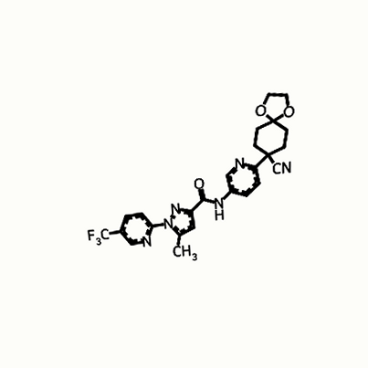 Cc1cc(C(=O)Nc2ccc(C3(C#N)CCC4(CC3)OCCO4)nc2)nn1-c1ccc(C(F)(F)F)cn1